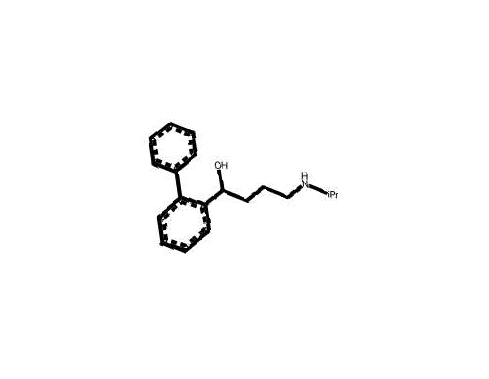 CC(C)NCCCC(O)c1ccccc1-c1ccccc1